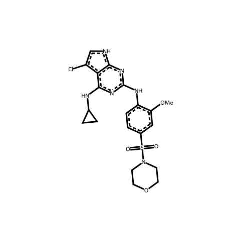 COc1cc(S(=O)(=O)N2CCOCC2)ccc1Nc1nc(NC2CC2)c2c(Cl)c[nH]c2n1